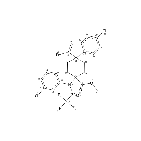 COC(=O)C1(N(C(=O)C(F)(F)F)c2cccc(Cl)c2)CCC2(CC1)C(Br)=Cc1cc(Cl)ccc12